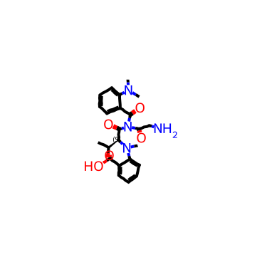 CC(C)[C@@H](C(=O)N(C(=O)CN)C(=O)c1ccccc1N(C)C)N(C)c1ccccc1C(=O)O